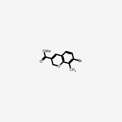 COC(=O)C1=Cc2ccc(Br)c(C)c2OC1